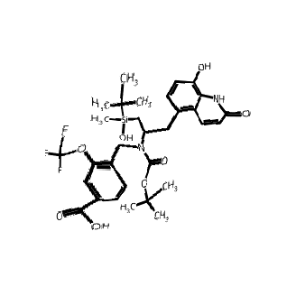 CC(C)(C)OC(=O)N(Cc1ccc(C(=O)O)cc1OC(F)(F)F)C(Cc1ccc(O)c2[nH]c(=O)ccc12)C[Si](C)(O)C(C)(C)C